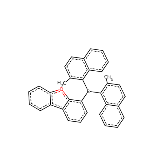 Cc1ccc2ccccc2c1B(c1c(C)ccc2ccccc12)c1cccc2c1oc1ccccc12